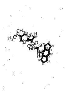 CN(C)C1COC2=C(S(=O)(=O)NC(=O)Nc3c4c(cc5c3CCC5)CCC4)CNN2C1